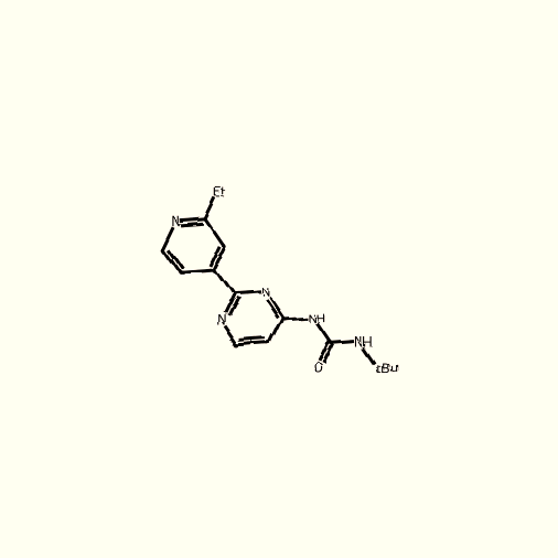 CCc1cc(-c2nccc(NC(=O)NC(C)(C)C)n2)ccn1